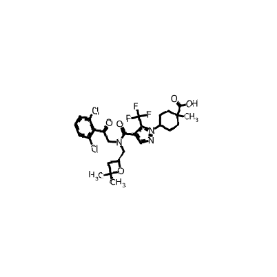 CC1(C)C[C@@H](CN(CC(=O)c2c(Cl)cccc2Cl)C(=O)c2cnn(C3CCC(C)(C(=O)O)CC3)c2C(F)(F)F)O1